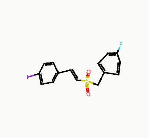 O=S(=O)(C=Cc1ccc(I)cc1)Cc1ccc(F)cc1